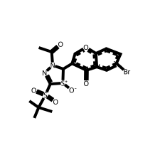 CC(=O)N1N=C(S(=O)(=O)C(C)(C)C)[S+]([O-])C1c1coc2ccc(Br)cc2c1=O